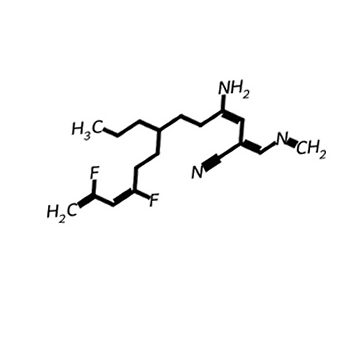 C=N/C=C(C#N)\C=C(\N)CCC(CCC)CC/C(F)=C\C(=C)F